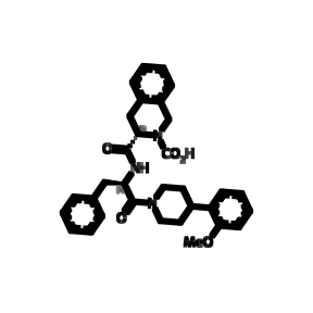 COc1ccccc1C1CCN(C(=O)[C@@H](Cc2ccccc2)NC(=O)[C@@H]2Cc3ccccc3CN2C(=O)O)CC1